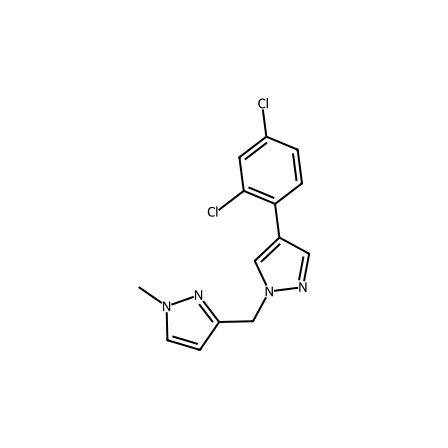 Cn1ccc(Cn2cc(-c3ccc(Cl)cc3Cl)cn2)n1